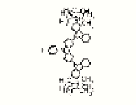 CC(C)[Si](c1ccc2c(c1)c1ccccc1n2-c1ccc2c(c1)c1cc(-n3c4ccccc4c4cc([Si](C(C)C)(C(C)C)C(C)C)ccc43)ccc1n2-c1ccc(F)cc1)(C(C)C)C(C)C